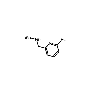 CC(=O)c1cccc(CNC(C)(C)C)n1